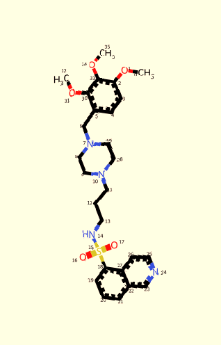 COc1ccc(CN2CCN(CCCNS(=O)(=O)c3cccc4cnccc34)CC2)c(OC)c1OC